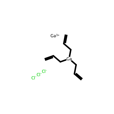 C=C[CH2][Ga]([CH2]C=C)[CH2]C=C.[Cl-].[Cl-].[Cl-].[Ga+3]